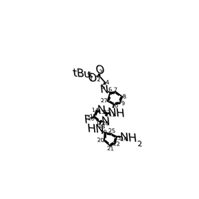 CC(C)(C)OC(=O)C=Nc1cccc(Nc2ncc(F)c(Nc3cccc(N)c3)n2)c1